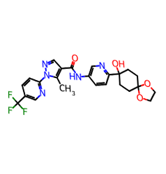 Cc1c(C(=O)Nc2ccc(C3(O)CCC4(CC3)OCCO4)nc2)cnn1-c1ccc(C(F)(F)F)cn1